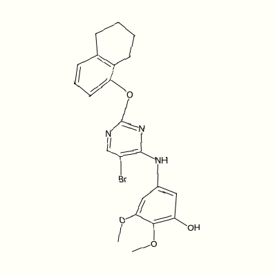 COc1cc(Nc2nc(Oc3cccc4c3CCCC4)ncc2Br)cc(O)c1OC